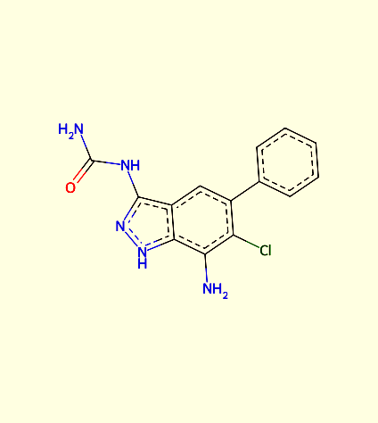 NC(=O)Nc1n[nH]c2c(N)c(Cl)c(-c3ccccc3)cc12